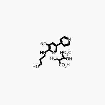 N#Cc1cc(-c2ccncc2)cnc1NCCCO.O=C(O)C(O)C(O)C(=O)O